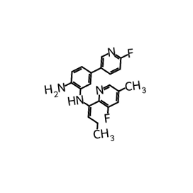 CCC=C(Nc1cc(-c2ccc(F)nc2)ccc1N)c1ncc(C)cc1F